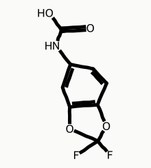 O=C(O)Nc1ccc2c(c1)OC(F)(F)O2